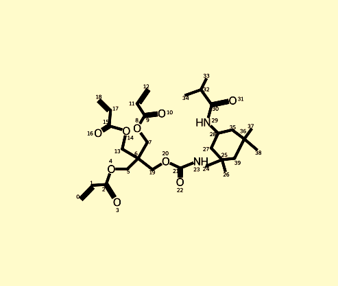 C=CC(=O)OCC(COC(=O)C=C)(COC(=O)C=C)COC(=O)NCC1(C)CC(NC(=O)C(C)C)CC(C)(C)C1